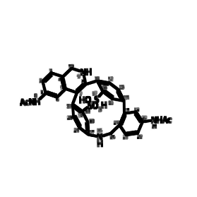 CC(=O)Nc1ccc2c(c1)C1=C(NC2)c2ccc(cc2S(=O)(=O)O)-c2cc(NC(C)=O)ccc2CNc2ccc1c(S(=O)(=O)O)c2